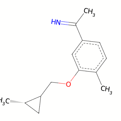 CC(=N)c1ccc(C)c(OCC2C[C@@H]2C)c1